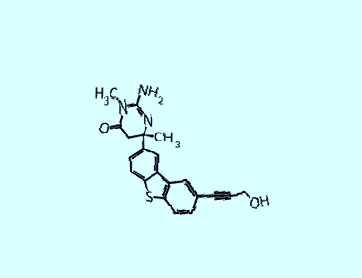 CN1C(=O)C[C@@](C)(c2ccc3sc4ccc(C#CCO)cc4c3c2)N=C1N